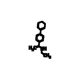 C=C(NCC)c1ccc(C2=CCCC=C2)cc1